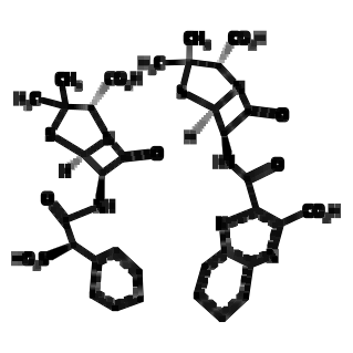 CC1(C)S[C@@H]2[C@H](NC(=O)[C@@H](c3ccccc3)S(=O)(=O)O)C(=O)N2[C@H]1C(=O)O.CC1(C)S[C@@H]2[C@H](NC(=O)c3nc4ccccc4nc3C(=O)O)C(=O)N2[C@H]1C(=O)O